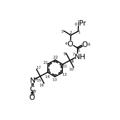 CC(C)CC(C)OC(=O)NC(C)(C)c1ccc(C(C)(C)N=C=O)cc1